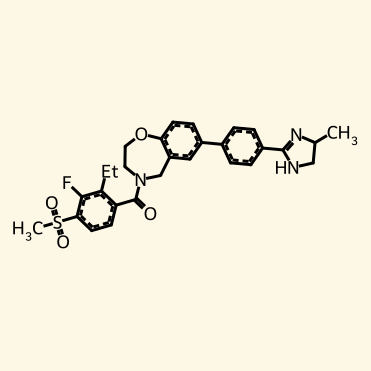 CCc1c(C(=O)N2CCOc3ccc(-c4ccc(C5=NC(C)CN5)cc4)cc3C2)ccc(S(C)(=O)=O)c1F